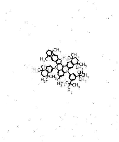 Cc1cc2c3c(c1)N(c1ccc4c(c1)C(C)(C)CCC4(C)C)c1c(sc4cc5c(cc14)C1(C)CCC5(C)C1)B3c1cc3c(cc1N2c1cc(C(C)(C)C)cc(C(C)(C)C)c1)C(C)(C)CCC3(C)C